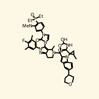 CCP(=O)(CC)c1ccc(-n2ccn(-c3c4c(nn3-c3cc(C)c(F)c(C)c3)CCN(C(=O)c3cc5cc(C6CCOCC6)ccc5n3C3(C5=NOC(O)N5)CC3C)C4C)c2=O)cc1NC